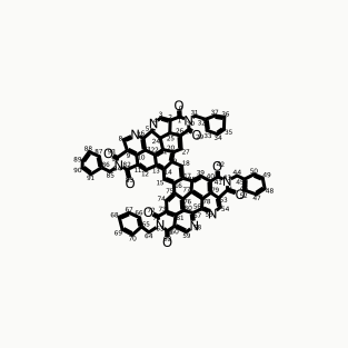 O=C1C2=CN=C3c4ncc5c6c(cc7c8cc9c(cc8c8c(c7c46)C3C2C(=C8)C(=O)N1Cc1ccccc1)c1cc2c(=O)n(Cc3ccccc3)c(=O)c3cnc4c6ncc7c(=O)n(Cc8ccccc8)c(=O)c8cc9c(c1c4c32)c6c78)C(=O)N(Cc1ccccc1)C5=O